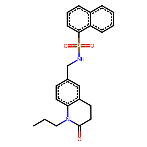 CCCN1C(=O)CCc2cc(CNS(=O)(=O)c3cccc4ccccc34)ccc21